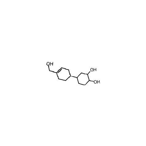 OCC1=CCC(C2CCC(O)C(O)C2)CC1